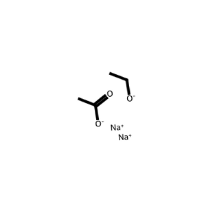 CC(=O)[O-].CC[O-].[Na+].[Na+]